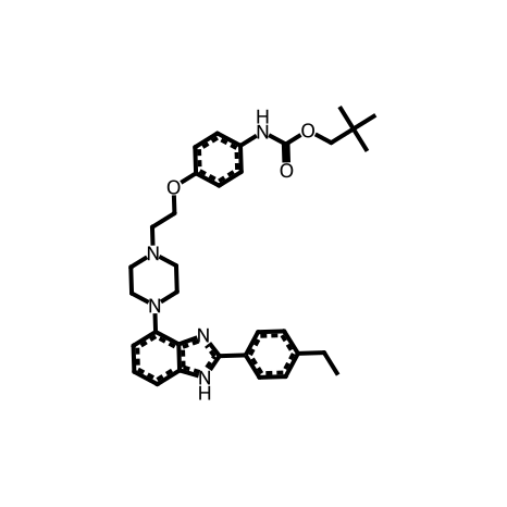 CCc1ccc(-c2nc3c(N4CCN(CCOc5ccc(NC(=O)OCC(C)(C)C)cc5)CC4)cccc3[nH]2)cc1